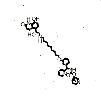 O=C(NC(c1cccc(OCCCCCCCCCNCC(O)c2ccc(O)c3[nH]c(=O)ccc23)c1)c1ccccn1)OC1CN2CCC1CC2